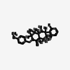 [2H]N1C([2H])(c2c(F)cccc2F)C([2H])([2H])C([2H])(Cl)C2([2H])C(=O)N(Cc3ccc(OC)cc3)C([2H])([2H])C([2H])(Br)C12[2H]